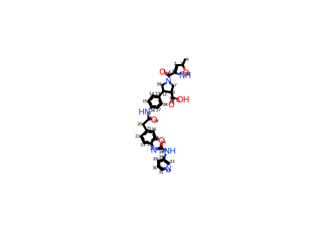 CC1C=C(C(=O)N2CC(C(=O)O)C(c3ccc(NC(=O)Cc4ccc5nc(Nc6cccnc6)oc5c4)cc3)C2)NO1